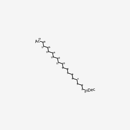 CCCCCCCCCCCCCCCCCCCCCCCCCCCCC(C)=O